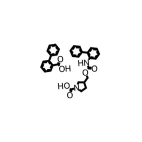 O=C(Nc1ccccc1-c1ccccc1)OCC1CCN(C(=O)O)C1.O=C(O)c1ccccc1-c1ccccc1